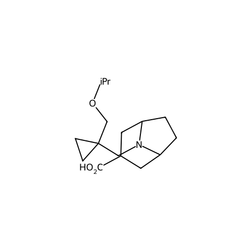 CC(C)OCC1(CN2C3CCC2CC(C(=O)O)C3)CC1